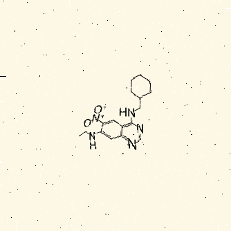 CCNc1cc2ncnc(NCC3CCCCC3)c2cc1[N+](=O)[O-]